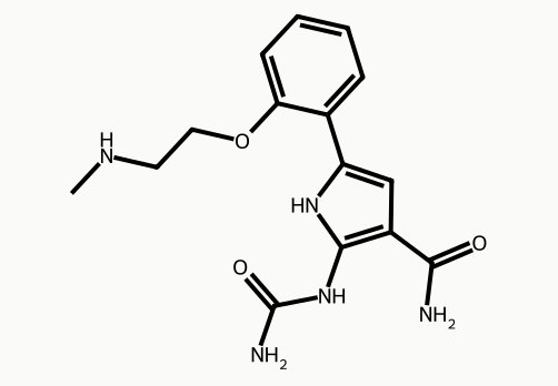 CNCCOc1ccccc1-c1cc(C(N)=O)c(NC(N)=O)[nH]1